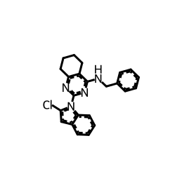 Clc1cc2ccccc2n1-c1nc2c(c(NCc3ccccc3)n1)CCCC2